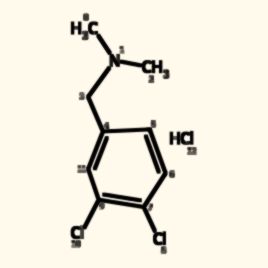 CN(C)Cc1ccc(Cl)c(Cl)c1.Cl